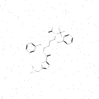 CN(C)Cc1ncc(C(=O)N[C@@H](Cc2ccccc2)[C@@H](O)[C@H](O)[C@H](Cc2ccccc2)N(C(=O)O)C(C)(C)C)[nH]1